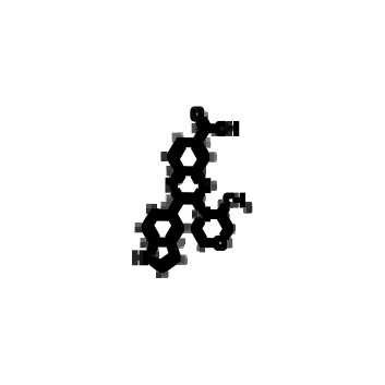 CC1COCCN1c1nc2cc(C(=O)O)ccc2nc1-c1ccc2[nH]ccc2c1